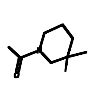 CC(=O)N1CCCC(C)(I)C1